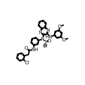 COc1cc(Nc2nc3ccccc3nc2N(c2cccc(NC(=O)Cc3ccccc3Cl)c2)[SH](=O)=O)cc(OC)c1